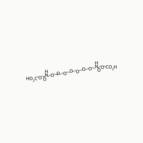 O=C(O)COCC(=O)NCCOCCOCCOCCOCCOCCOCCOCCNC(=O)COCC(=O)O